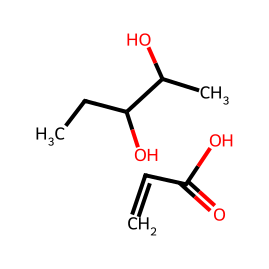 C=CC(=O)O.CCC(O)C(C)O